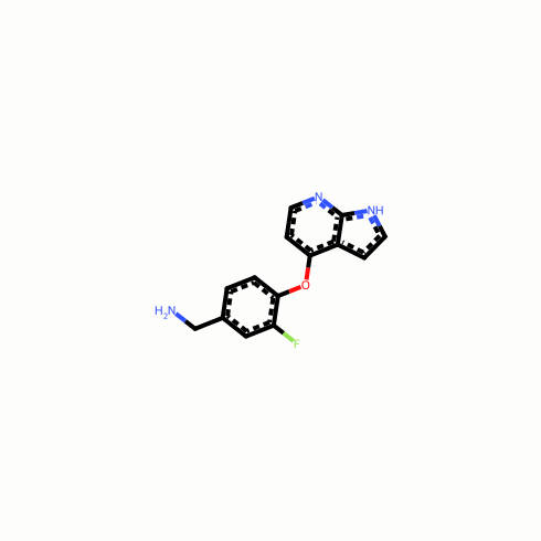 NCc1ccc(Oc2ccnc3[nH]ccc23)c(F)c1